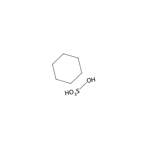 C1CCCCC1.O=S(=O)(O)O